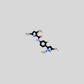 CC1=NC(C(=O)Nc2ccc(-c3cc(C(F)(F)F)nn3C)c(F)c2)=C(C)C1